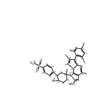 CCCc1cc2c(C)nc3c(-c4c(C)cc(C)cc4C)c(C)nn3c2n1C1(C)CCC(C(C)C)C(c2ccc(S(N)(=O)=O)cc2)C1